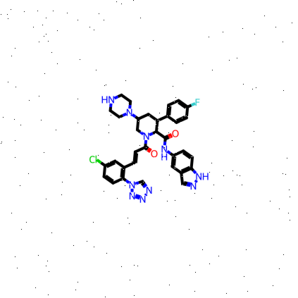 O=C(Nc1ccc2[nH]ncc2c1)C1C(c2ccc(F)cc2)CC(N2CCNCC2)CN1C(=O)C=Cc1cc(Cl)ccc1-n1cnnn1